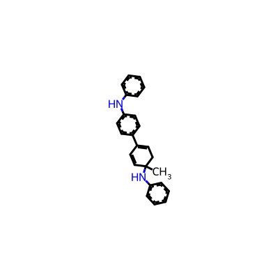 CC1(Nc2ccccc2)C=CC(c2ccc(Nc3ccccc3)cc2)=CC1